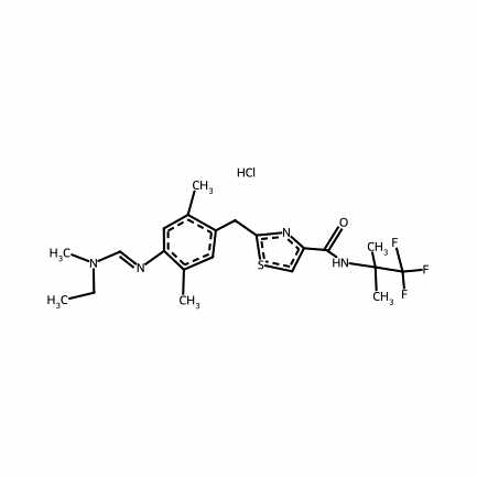 CCN(C)C=Nc1cc(C)c(Cc2nc(C(=O)NC(C)(C)C(F)(F)F)cs2)cc1C.Cl